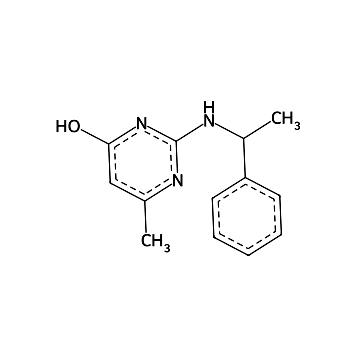 Cc1cc(O)nc(NC(C)c2ccccc2)n1